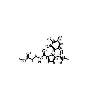 COC(=O)CCNC(=O)c1ccc(C(Oc2cc(C)c(I)c(C)c2)=C(C)C)s1